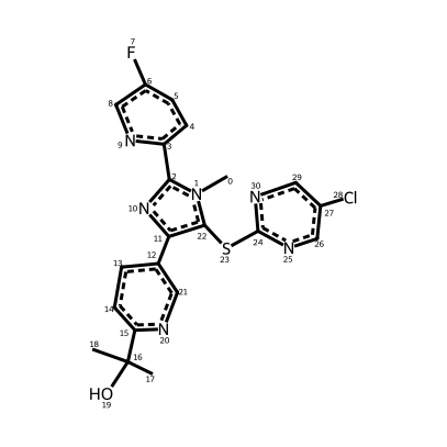 Cn1c(-c2ccc(F)cn2)nc(-c2ccc(C(C)(C)O)nc2)c1Sc1ncc(Cl)cn1